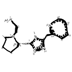 NCN1CCC[C@H]1c1nc(-c2ccccn2)no1